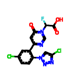 O=C(O)C(F)n1cnc(-c2cc(Cl)ccc2-n2cc(Cl)nn2)cc1=O